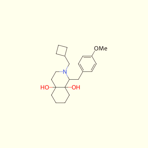 COc1ccc(CC2N(CC3CCC3)CCC3(O)CCCCC23O)cc1